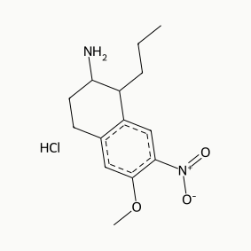 CCCC1c2cc([N+](=O)[O-])c(OC)cc2CCC1N.Cl